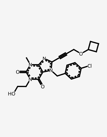 Cn1c(=O)n(CCO)c(=O)c2c1nc(C#CCOC1CCC1)n2Cc1ccc(Cl)cc1